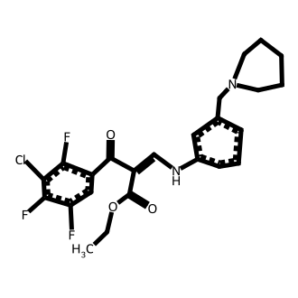 CCOC(=O)C(=CNc1cccc(CN2CCCCC2)c1)C(=O)c1cc(F)c(F)c(Cl)c1F